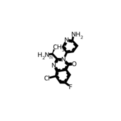 C[C@H](N)c1nc2c(Cl)cc(F)cc2c(=O)n1-c1ccc(N)nc1